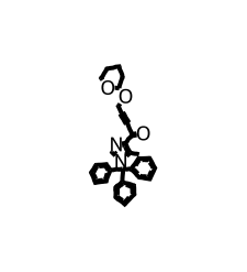 Cc1c(C(=O)C#CCOC2CCCCO2)ncn1C(c1ccccc1)(c1ccccc1)c1ccccc1